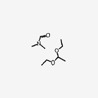 CCOC(C)OCC.CN(C)C=O